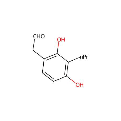 CCCc1c(O)ccc(CC=O)c1O